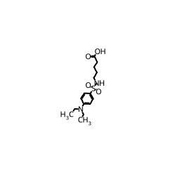 CCN(CC)c1ccc(S(=O)(=O)NCCCCC(=O)O)cc1